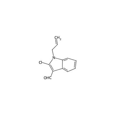 C=CCn1c(Cl)c(C=O)c2ccccc21